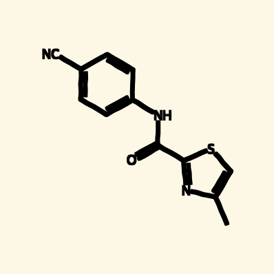 Cc1csc(C(=O)Nc2ccc(C#N)cc2)n1